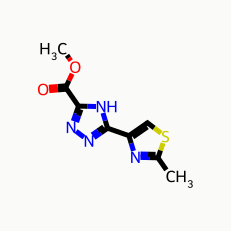 COC(=O)c1nnc(-c2csc(C)n2)[nH]1